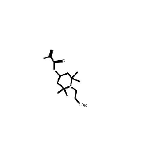 C=C(C)C(=O)OC1CC(C)(C)N(CCCCCCCCCCCC)C(C)(C)C1